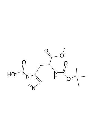 COC(=O)C(Cc1cncn1C(=O)O)NC(=O)OC(C)(C)C